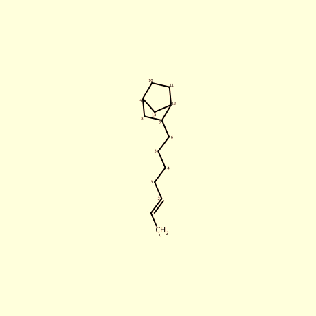 CC=CCCCCC1CC2CCC1C2